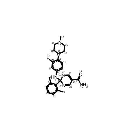 Cc1cccc(C)c1C1(Nc2ccc(N3CCN(C)CC3)c(F)c2)N=CC(C(N)=O)=CN1